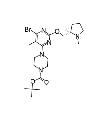 Cc1c(Br)nc(OC[C@@H]2CCCN2C)nc1N1CCN(C(=O)OC(C)(C)C)CC1